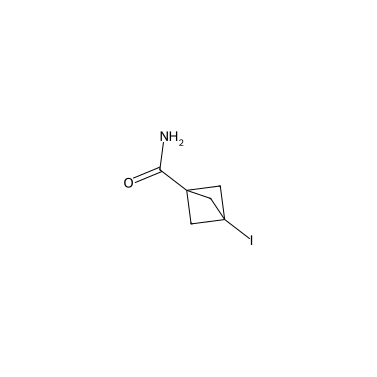 NC(=O)C12CC(I)(C1)C2